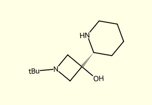 CC(C)(C)N1CC(O)([C@H]2CCCCN2)C1